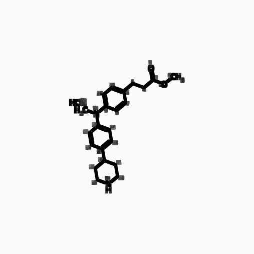 COC(=O)CCc1ccc(N(C)c2ccc(C3CCNCC3)cc2)cc1.Cl